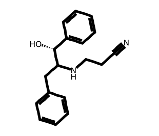 N#CCCNC(Cc1ccccc1)[C@H](O)c1ccccc1